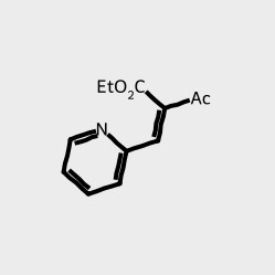 CCOC(=O)/C(=C\c1ccccn1)C(C)=O